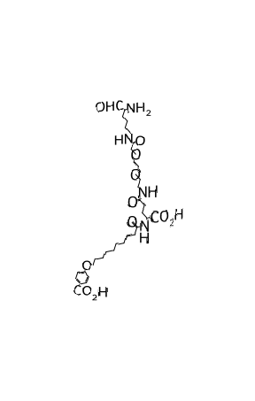 N[C@H](C=O)CCCCNC(=O)COCCOCCNC(=O)CC[C@H](NC(=O)CCCCCCCCCOc1ccc(C(=O)O)cc1)C(=O)O